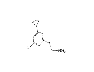 NCCc1cc(Cl)cc(C2CC2)c1